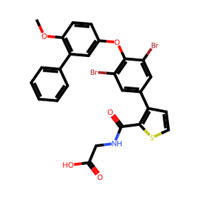 COc1ccc(Oc2c(Br)cc(-c3ccsc3C(=O)NCC(=O)O)cc2Br)cc1-c1ccccc1